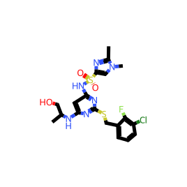 Cc1nc(S(=O)(=O)Nc2cc(NC(C)CO)nc(SCc3cccc(Cl)c3F)n2)cn1C